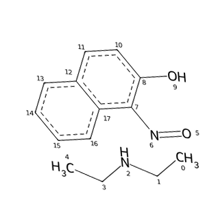 CCNCC.O=Nc1c(O)ccc2ccccc12